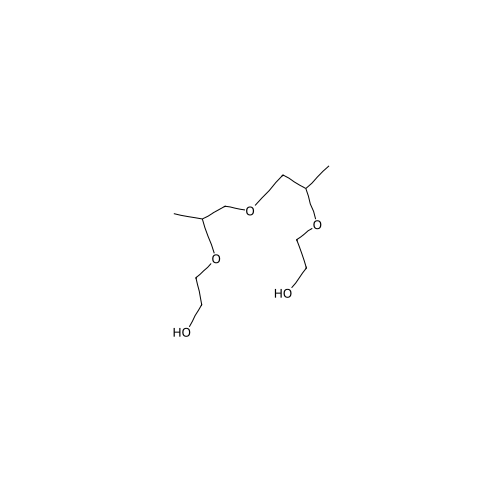 CC(COCC(C)OCCO)OCCO